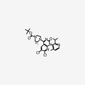 Cc1ccnc(C(C)C)c1-n1c(=O)nc(N2CCN(C(=O)OC(C)(C)C)C[C@H]2C)c2cc(Cl)c(Cl)nc21